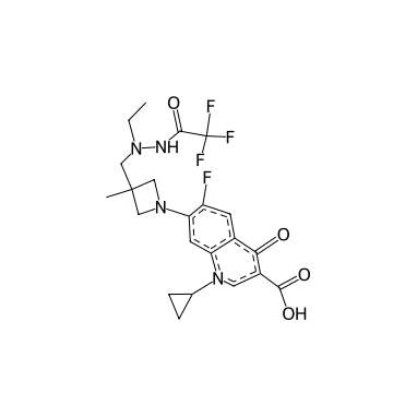 CCN(CC1(C)CN(c2cc3c(cc2F)c(=O)c(C(=O)O)cn3C2CC2)C1)NC(=O)C(F)(F)F